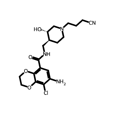 N#CCCCN1CC[C@@H](CNC(=O)c2cc(N)c(Cl)c3c2OCCO3)[C@H](O)C1